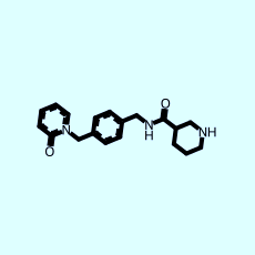 O=C(NCc1ccc(Cn2ccccc2=O)cc1)C1CCCNC1